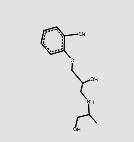 CC(CO)NCC(O)COc1ccccc1C#N